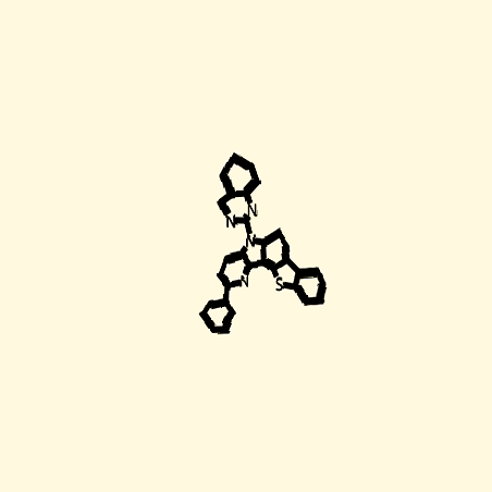 c1ccc(-c2ccc3c(n2)c2c4sc5ccccc5c4ccc2n3-c2ncc3ccccc3n2)cc1